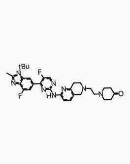 Cc1nc2c(F)cc(-c3nc(Nc4ccc5c(n4)CCN(CCN4CCC(=O)CC4)C5)ncc3F)cc2n1C(C)(C)C